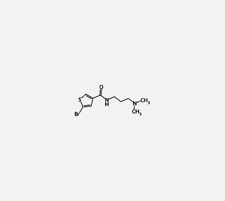 CN(C)CCCNC(=O)c1csc(Br)c1